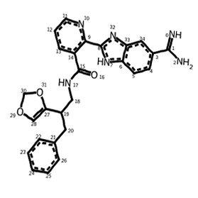 N=C(N)c1ccc2[nH]c(-c3ncccc3C(=O)NCC(Cc3ccccc3)C3=COCO3)nc2c1